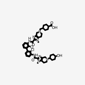 Cn1c(C(=O)Nc2cccc(-c3cccc(NC(=O)c4nc5c(n4C)CCN(C4CCC(O)CC4)C5)c3Cl)c2Cl)nc2c1CCN(CC1CCC(C(=O)O)CC1)C2